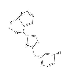 COC(c1ccc(Cc2cccc(Cl)c2)s1)c1cncnc1Cl